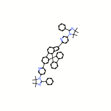 CC1(C)N=C(c2ccccc2)N(c2ccc(-c3ccc4c(c3)C3(c5ccccc5-c5ccccc53)c3c-4ccc4cc(-c5ccc(N6C(c7ccccc7)=NC(C)(C)C6(C)C)cn5)ccc34)nc2)C1(C)C